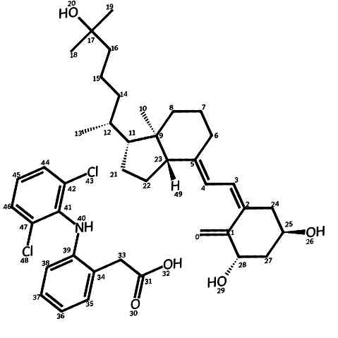 C=C1/C(=C\C=C2/CCC[C@]3(C)[C@@H]([C@H](C)CCCC(C)(C)O)CC[C@@H]23)C[C@@H](O)C[C@@H]1O.O=C(O)Cc1ccccc1Nc1c(Cl)cccc1Cl